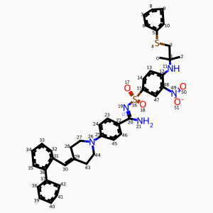 CC(C)(CSc1ccccc1)Nc1ccc(S(=O)(=O)/N=C(\N)c2ccc(N3CCC(=Cc4ccccc4-c4ccccc4)CC3)cc2)cc1[N+](=O)[O-]